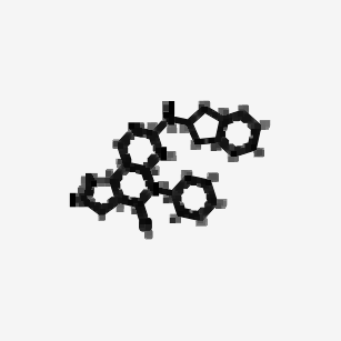 O=c1c2c[nH]nc2c2cnc(NC3Cc4ccccc4C3)nc2n1-c1ccccc1